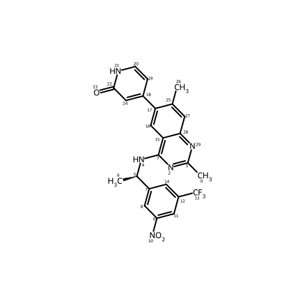 Cc1nc(N[C@H](C)c2cc([N+](=O)[O-])cc(C(F)(F)F)c2)c2cc(-c3cc[nH]c(=O)c3)c(C)cc2n1